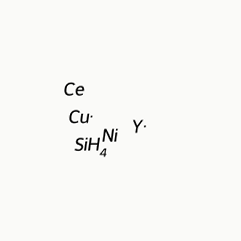 [Ce].[Cu].[Ni].[SiH4].[Y]